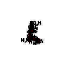 CC(C)Oc1c(NC(=O)c2ccc(NC(=O)[C@H](CC(N)=O)NC(=O)c3ccc(NC(=O)c4ccc(C#N)c(Cl)c4)cc3)cc2)ccc(C(=O)Nc2ccc(C(=O)O)cc2)c1O